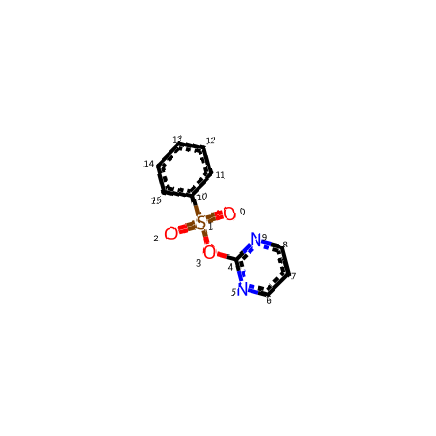 O=S(=O)(Oc1ncccn1)c1ccccc1